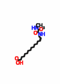 CNC(=O)C(=O)NC/C=C\CCCCCCCCCCCCC(=O)O